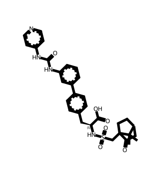 CC1(C)C2CCC1(CS(=O)(=O)N[C@@H](Cc1ccc(-c3cccc(NC(=O)Nc4ccncc4)c3)cc1)C(=O)O)C(=O)C2